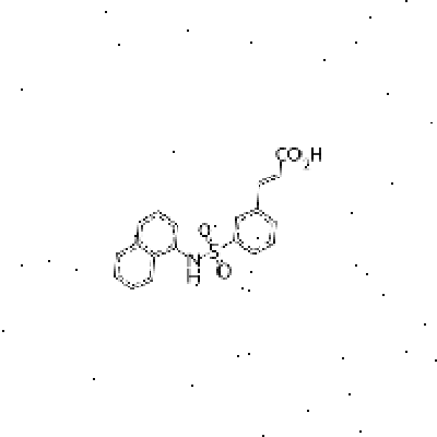 O=C(O)/C=C/c1cccc(S(=O)(=O)Nc2cccc3ccccc23)c1